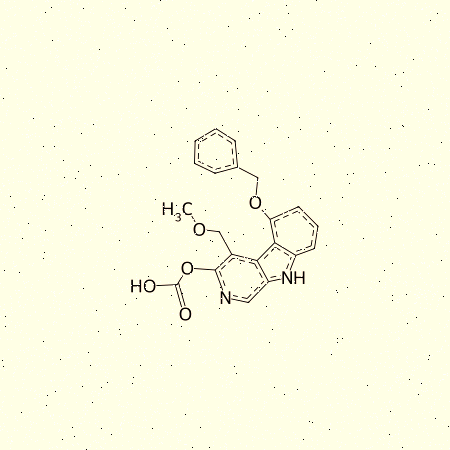 COCc1c(OC(=O)O)ncc2[nH]c3cccc(OCc4ccccc4)c3c12